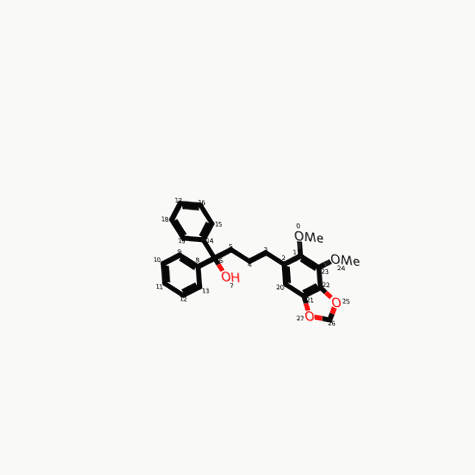 COc1c(CCCC(O)(c2ccccc2)c2ccccc2)cc2c(c1OC)OCO2